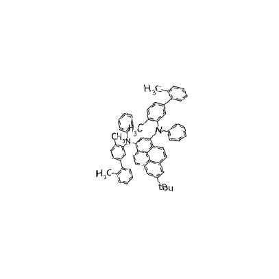 Cc1ccccc1-c1ccc(C)c(N(c2ccccc2)c2cc(N(c3ccccc3)c3cc(-c4ccccc4C)ccc3C)c3ccc4cc(C(C)(C)C)cc5ccc2c3c54)c1